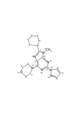 Cn1c(C2CCCCC2)nc2c(N3CCOCC3)nc(-n3cccn3)nc21